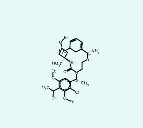 CCOc1cc([C@@H](C)N(CCO[C@@H](C)C2=CC=CC(C)C2)C(=O)N[C@]2(C(=O)O)C[C@H](OCC)C2)c(Cl)c(OCC)c1C(C)O